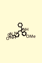 COc1ccc2c(Cc3cccc(-c4noc(=O)[nH]4)n3)c(C3CCCCC3)[nH]c2c1